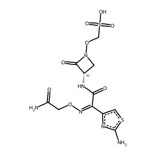 NC(=O)CON=C(C(=O)N[C@H]1CN(OCS(=O)(=O)O)C1=O)c1csc(N)n1